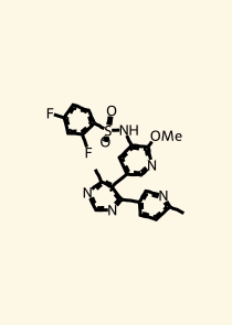 COc1ncc(-c2c(C)ncnc2-c2ccc(C)nc2)cc1NS(=O)(=O)c1ccc(F)cc1F